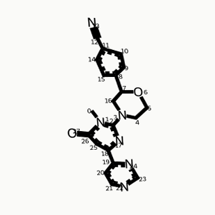 Cn1c(N2CCOC(c3ccc(C#N)cc3)C2)nc(-c2ccncn2)cc1=O